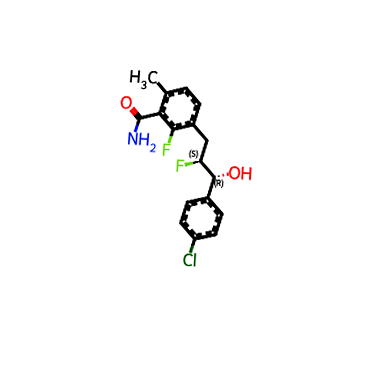 Cc1ccc(C[C@H](F)[C@H](O)c2ccc(Cl)cc2)c(F)c1C(N)=O